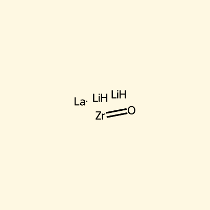 [La].[LiH].[LiH].[O]=[Zr]